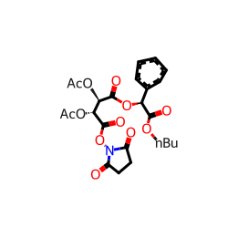 CCCCOC(=O)[C@@H](OC(=O)[C@H](OC(C)=O)[C@@H](OC(C)=O)C(=O)ON1C(=O)CCC1=O)c1ccccc1